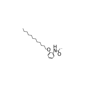 [CH2]C(=O)Nc1ccccc1OCCCCCCCCCCCC